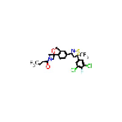 O=C(CCC(F)(F)F)N1CC2(C1)OCc1cc(C3=NS[C@@](c4cc(Cl)c(F)c(Cl)c4)(C(F)(F)F)C3)ccc12